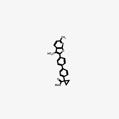 COC(=O)C1(c2ccc(-c3ccc(-c4oc5nc(C)ccc5c4C(=O)O)cc3)cc2)CC1